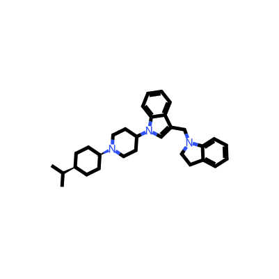 CC(C)[C@H]1CC[C@@H](N2CCC(n3cc(CN4CCc5ccccc54)c4ccccc43)CC2)CC1